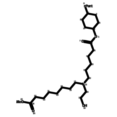 CCCCCC1CCC(OC(=O)CCCCCN(CCO)CCCCCCCC(=O)OC)CC1